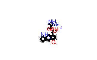 COc1ccc(C=O)c2ccccc12.NC1CCCCC1.NC[C@H](N)C(=O)O